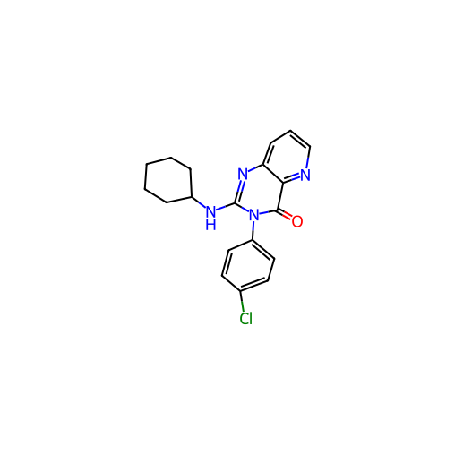 O=c1c2ncccc2nc(NC2CCCCC2)n1-c1ccc(Cl)cc1